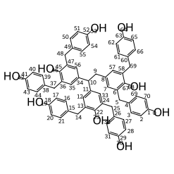 Oc1ccc(Cc2cc(CC(c3cc(Cc4ccc(O)cc4)c(O)c(Cc4ccc(O)cc4)c3)c3cc(Cc4ccc(O)cc4)c(O)c(Cc4ccc(O)cc4)c3)cc(Cc3ccc(O)cc3)c2O)cc1